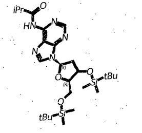 CC(C)C(=O)Nc1ncnc2c1ncn2[C@H]1CC(O[Si](C)(C)C(C)(C)C)[C@@H](CO[Si](C)(C)C(C)(C)C)O1